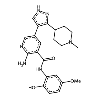 COc1ccc(O)c(NC(=O)c2cc(-c3c[nH]nc3C3CCN(C)CC3)cnc2N)c1